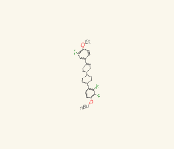 CCCCOc1ccc(C2CCC(C3CC=C(c4ccc(OCC)c(F)c4)CC3)CC2)c(F)c1F